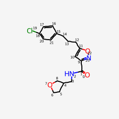 O=C(NCC1CCOC1)c1cc(CCCc2ccc(Cl)cc2)on1